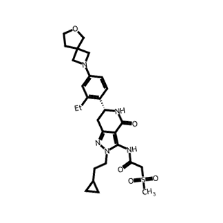 CCc1cc(N2CC3(CCOC3)C2)ccc1[C@H]1Cc2nn(CCC3CC3)c(NC(=O)CS(C)(=O)=O)c2C(=O)N1